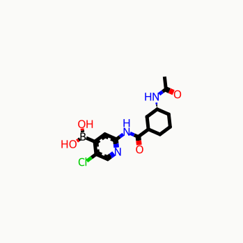 CC(=O)N[C@@H]1CCCC(C(=O)Nc2cc(B(O)O)c(Cl)cn2)C1